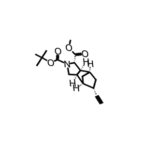 C#C[C@H]1C[C@H]2C[C@@H]1[C@H]1CN(C(=O)OC(C)(C)C)[C@H](C(=O)OC)[C@@H]21